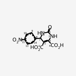 O=C1NC(C(=O)O)=C(C(=O)O)C(c2ccc([N+](=O)[O-])cc2)N1